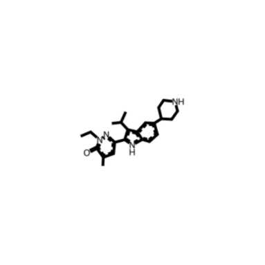 CCn1nc(-c2[nH]c3ccc(C4CCNCC4)cc3c2C(C)C)cc(C)c1=O